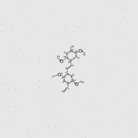 C=Cc1cc(OC)c(/C=C/c2cc(OC)c(C)cc2OC)cc1OC